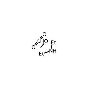 CCNCC.CO.O=C=O